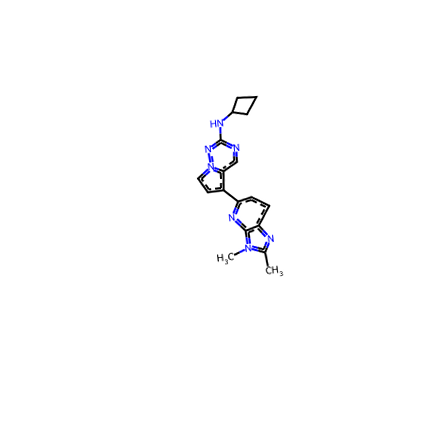 Cc1nc2ccc(-c3ccn4nc(NC5CCC5)ncc34)nc2n1C